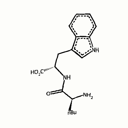 CCCC[C@H](N)C(=O)N[C@@H](Cc1c[nH]c2ccccc12)C(=O)O